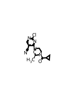 C[C@H]1CN(c2nc(Cl)ncc2C#N)CCN1C(=O)C1CC1